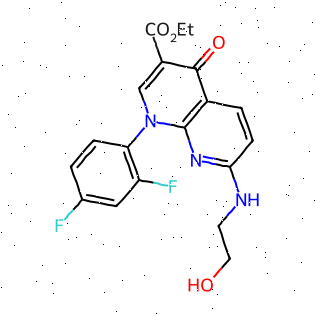 CCOC(=O)c1cn(-c2ccc(F)cc2F)c2nc(NCCO)ccc2c1=O